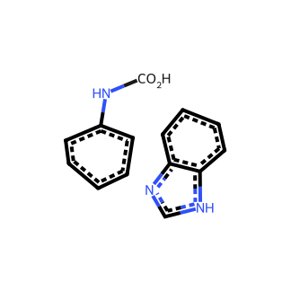 O=C(O)Nc1ccccc1.c1ccc2[nH]cnc2c1